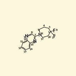 FC1(F)CCCN(c2cnc3ccccc3n2)CC1